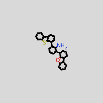 Nc1c(-c2cccc3c2oc2ccccc23)cccc1-c1cccc2c1sc1ccccc12